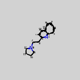 c1ccc2nc(CCN3CCCC3)ccc2c1